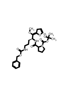 COC(=C1CC=CO1)[C@H](CCCNC(=O)OCc1ccccc1)NC(=O)C1CCCN1C(=O)OC(C)(C)C